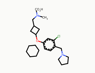 C1CCCCC1.CN(CC1CC(Oc2ccc(CN3CCCC3)c(Cl)c2)C1)C(=O)O